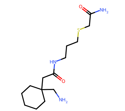 NCC1(CC(=O)NCCCSCC(N)=O)CCCCC1